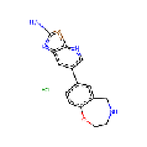 Cl.Nc1nc2cc(-c3ccc4c(c3)CNCCO4)cnc2s1